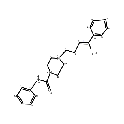 C/C(=C\CCN1CCN(C(=O)Nc2ccccc2)CC1)c1ccccc1